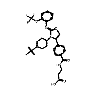 CC(C)(C)C1CCC(N2C(=Nc3ccccc3OC(F)(F)F)OCC2c2ccc(C(=O)NCCC(=O)O)cc2)CC1